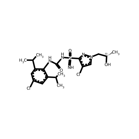 CC(C)c1cc(Cl)cc(C(C)C)c1NC(=O)NS(=N)(=O)c1nn(C[C@H](C)O)cc1Cl